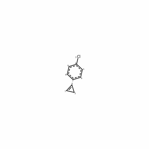 C1=CC1.Clc1ccccc1